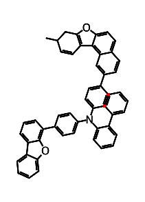 CC1C=Cc2c(oc3ccc4ccc(-c5ccc(N(c6ccc(-c7cccc8c7oc7ccccc78)cc6)c6ccccc6-c6ccccc6)cc5)cc4c23)C1